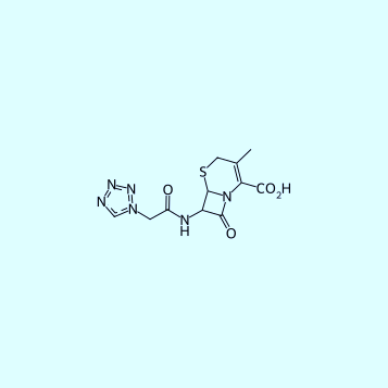 CC1=C(C(=O)O)N2C(=O)C(NC(=O)Cn3cnnn3)C2SC1